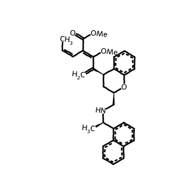 C=C(/C(OC)=C(\C=C/C)C(=O)OC)[C@@H]1C[C@H](CN[C@H](C)c2cccc3ccccc23)Oc2ccccc21